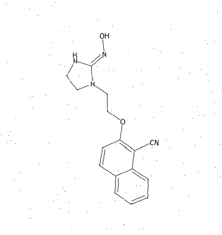 N#Cc1c(OCCN2CCNC2=NO)ccc2ccccc12